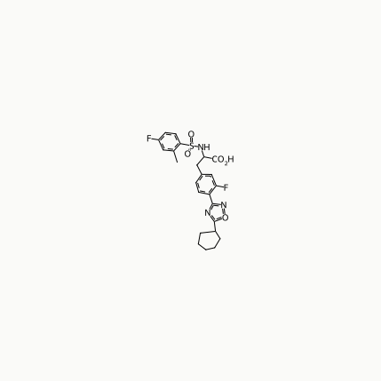 Cc1cc(F)ccc1S(=O)(=O)NC(Cc1ccc(-c2noc(C3CCCCC3)n2)c(F)c1)C(=O)O